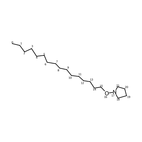 CCCCCCCCCCCCCCCCON1CCCC1